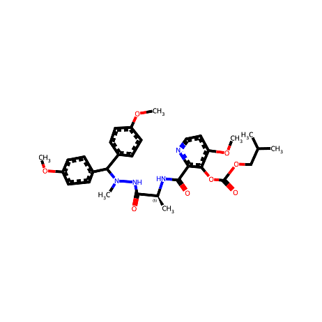 COc1ccc(C(c2ccc(OC)cc2)N(C)NC(=O)[C@H](C)NC(=O)c2nccc(OC)c2OC(=O)OCC(C)C)cc1